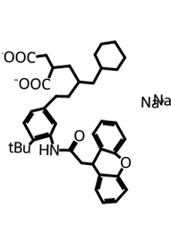 CC(C)(C)c1ccc(CCC(CC2CCCCC2)CC(CC(=O)[O-])C(=O)[O-])cc1NC(=O)CC1c2ccccc2Oc2ccccc21.[Na+].[Na+]